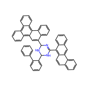 c1ccc(-c2ccccc2C2NC(c3c4ccccc4cc4c3ccc3ccccc34)=NC(c3cc4c5ccccc5c5ccccc5c4c4ccccc34)N2)cc1